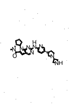 CN(C)C(=O)c1cc2cnc(Nc3ccc([C@H]4CCN(C5CNC5)C4)cn3)nc2n1C1CCCC1